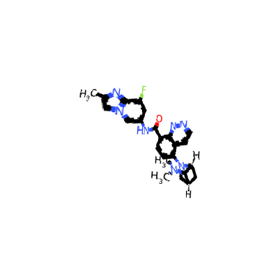 Cc1cn2cc(NC(=O)c3ccc(N4C[C@@H]5C[C@H]4C5N(C)C)c4ccnnc34)cc(F)c2n1